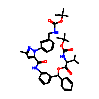 Cc1cc(C(=O)Nc2cccc(C(OC(=O)[C@@H](NC(=O)OC(C)(C)C)C(C)C)c3ccccc3)c2)n(-c2cccc(CNC(=O)OC(C)(C)C)c2)n1